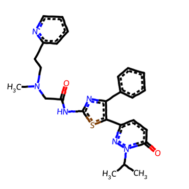 CC(C)n1nc(-c2sc(NC(=O)CN(C)CCc3ccccn3)nc2-c2ccccc2)ccc1=O